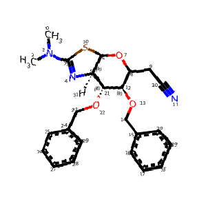 CN(C)C1=N[C@H]2C(OC(CC#N)[C@@H](OCc3ccccc3)[C@@H]2OCc2ccccc2)S1